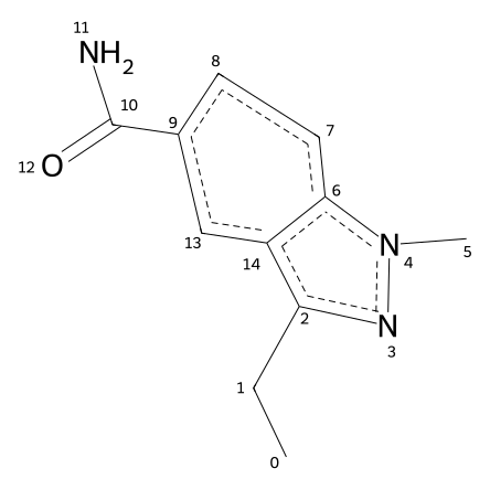 CCc1nn(C)c2ccc(C(N)=O)cc12